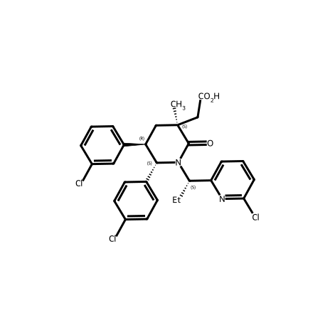 CC[C@@H](c1cccc(Cl)n1)N1C(=O)[C@](C)(CC(=O)O)C[C@H](c2cccc(Cl)c2)[C@H]1c1ccc(Cl)cc1